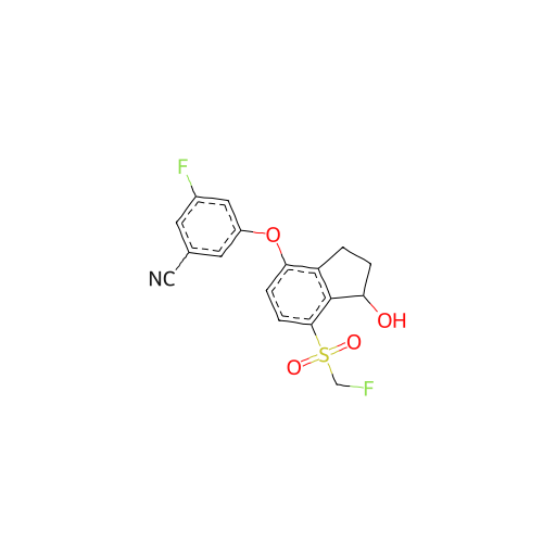 N#Cc1cc(F)cc(Oc2ccc(S(=O)(=O)CF)c3c2CCC3O)c1